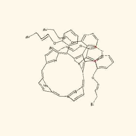 CCC(C)CC=COc1ccccc1-c1c(-c2ccccc2OC=CCC(C)CC)c2c(-c3ccccc3OC=CCC(C)CC)c3nc(cc4ccc(cc5nc(cc1n2-c1ccccc1OC=CCC(C)CC)C=C5)[nH]4)C=C3